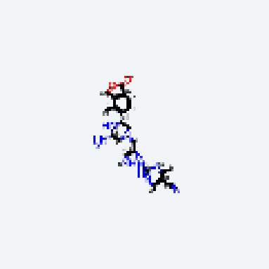 Cc1nc(N/N=C(\C=N)CN2C[C@@H](c3ccc4c(c3C)COC4=O)N[C@@H](N)C2)nc(C)c1C#N